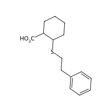 O=C(O)C1CCCCC1SCCc1ccccc1